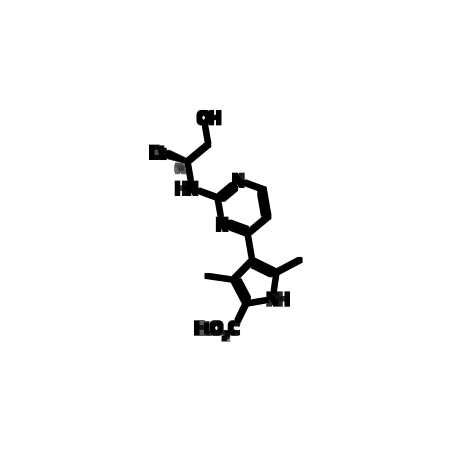 CCOC(=O)c1[nH]c(C)c(-c2ccnc(N[C@@H](CC)CO)n2)c1C